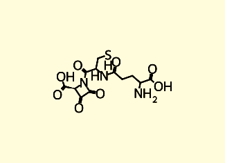 NC(CCC(=O)NC(CS)C(=O)N1C(=O)C(=O)[C@H]1C(=O)O)C(=O)O